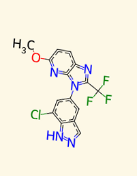 COc1ccc2nc(C(F)(F)F)n(-c3cc(Cl)c4[nH]ncc4c3)c2n1